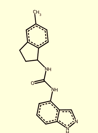 Cc1ccc2c(c1)CCC2NC(=O)Nc1cccc2[nH]ncc12